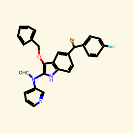 O=CN(c1cccnc1)c1[nH]c2ccc(C(Br)c3ccc(F)cc3)cc2c1OCc1ccccc1